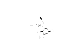 C#CCN(N)C1=CC(=O)C=C(O)C1=O